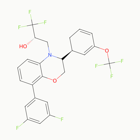 O[C@@H](CN1c2cccc(-c3cc(F)cc(F)c3)c2OCC1[C@@H]1C=C(OC(F)(F)F)C=CC1)C(F)(F)F